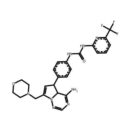 NC1=NC=NN2C(CN3CCOCC3)=CC(c3ccc(NC(=O)Nc4cccc(C(F)(F)F)n4)cc3)C12